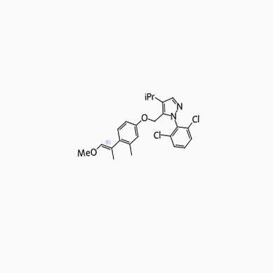 CO/C=C(\C)c1ccc(OCc2c(C(C)C)cnn2-c2c(Cl)cccc2Cl)cc1C